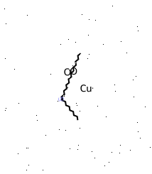 CCCCCCCC/C=C\CCCCCCCC(=O)OCCCCCC.[Cu]